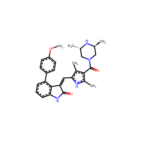 COc1ccc(-c2cccc3c2/C(=C/c2[nH]c(C)c(C(=O)N4C[C@H](C)N[C@@H](C)C4)c2C)C(=O)N3)cc1